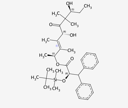 CC[C@H](O)C(C)(C)C(=O)[C@H](O)/C(C)=C(\C)[C@H](C)OC(=O)[C@H](O[Si](C)(C)C(C)(C)C)C(c1ccccc1)c1ccccc1